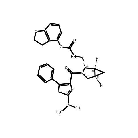 CN(C)c1nc(C(=O)N2C[C@@H]3C[C@@H]3[C@H]2CNC(=O)Oc2cccc3c2CCO3)c(-c2ccccc2)s1